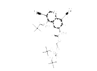 CC(C)(C)CNc1c(C#N)cnc2c(C#N)cc(NC(=O)OCOP(=O)(OC(C)(C)C)OC(C)(C)C)cc12